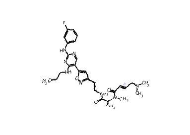 CCCNc1nc(Nc2cccc(F)c2)ncc1-c1cc(CCNC(=O)C(C)N(C)C(=O)/C=C/CN(C)C)no1